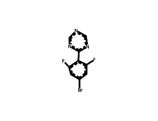 Fc1cc(Br)cc(F)c1-c1ncncn1